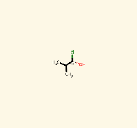 CC(C)[C@@H](O)Cl